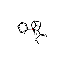 COC(=O)C1CCC2CC1N2C(=O)c1ccccn1